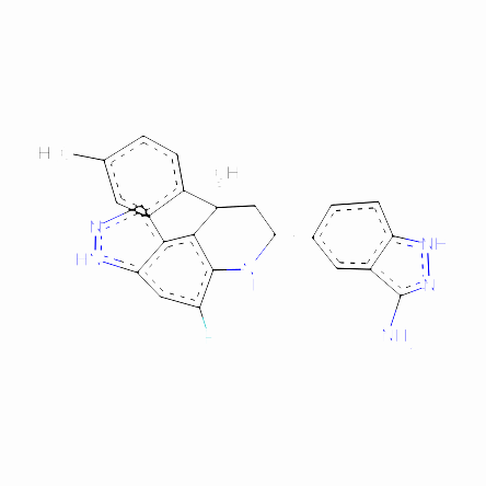 Cc1ccc([C@@]2(C)C[C@H](c3ccc4[nH]nc(N)c4c3)Nc3c(F)cc4[nH]ncc4c32)cc1